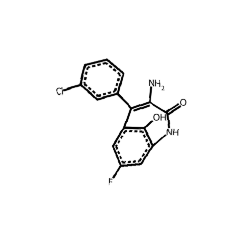 NC1=C(c2cccc(Cl)c2)c2cc(F)cc(c2O)NC1=O